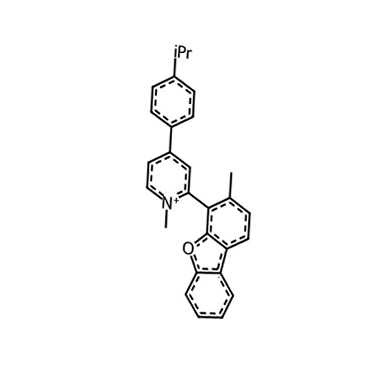 Cc1ccc2c(oc3ccccc32)c1-c1cc(-c2ccc(C(C)C)cc2)cc[n+]1C